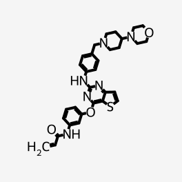 C=CC(=O)Nc1cccc(Oc2nc(Nc3ccc(CN4CCC(N5CCOCC5)CC4)cc3)nc3ccsc23)c1